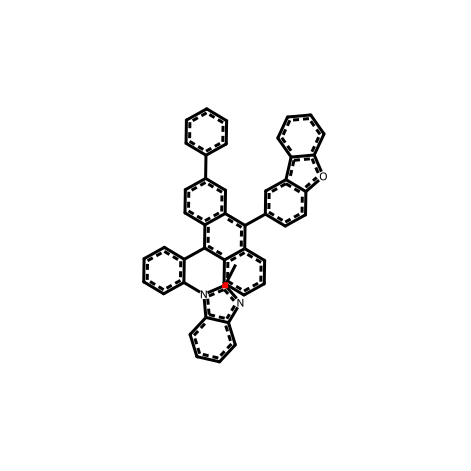 Cc1nc2ccccc2n1-c1ccccc1-c1c2ccccc2c(-c2ccc3oc4ccccc4c3c2)c2cc(-c3ccccc3)ccc12